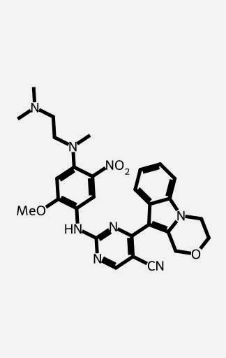 COc1cc(N(C)CCN(C)C)c([N+](=O)[O-])cc1Nc1ncc(C#N)c(-c2c3n(c4ccccc24)CCOC3)n1